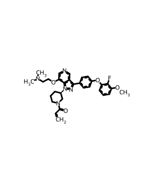 C=CC(=O)N1CCC[C@@H](n2nc(-c3ccc(Oc4cccc(OC)c4F)cc3)c3cncc(OCCN(C)C)c32)C1